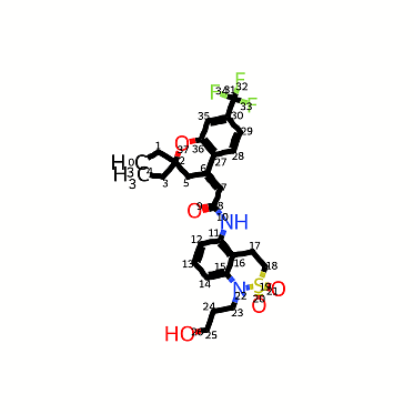 CCC1(CC)CC(=CC(=O)Nc2cccc3c2CCS(=O)(=O)N3CCCO)c2ccc(C(F)(F)F)cc2O1